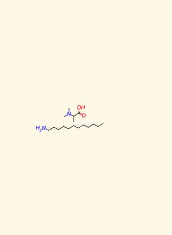 CC(C(=O)O)N(C)C.CCCCCCCCCCCCN